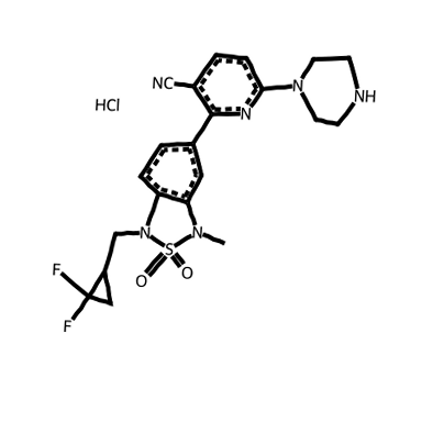 CN1c2cc(-c3nc(N4CCNCC4)ccc3C#N)ccc2N(CC2CC2(F)F)S1(=O)=O.Cl